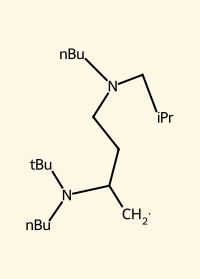 [CH2]C(CCN(CCCC)CC(C)C)N(CCCC)C(C)(C)C